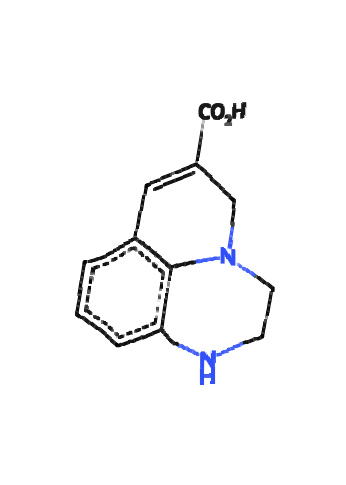 O=C(O)C1=Cc2cccc3c2N(CCN3)C1